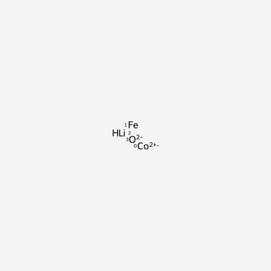 [Co+2].[Fe].[LiH].[O-2]